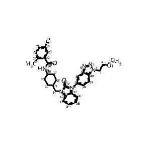 COCCn1nnc2cc(-n3c(=O)n(CC4CCC(NC(=O)c5cc(Cl)cnc5C)CC4)c4ccccc43)ccc21